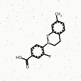 Cc1ccc2c(c1)SN(c1ccc(C(=O)O)cc1F)CC2